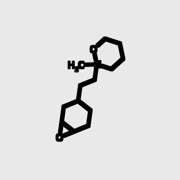 C[Si]1(CCC2CCC3OC3C2)CCCCO1